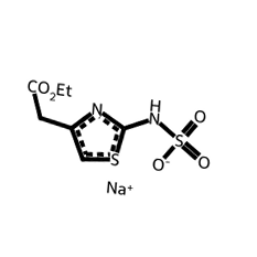 CCOC(=O)Cc1csc(NS(=O)(=O)[O-])n1.[Na+]